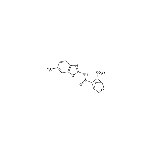 O=C(O)C1C2C=CC(C2)C1C(=O)Nc1nc2ccc(C(F)(F)F)cc2s1